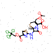 CC(=O)OCC1=C(C(=O)O)N2C(=O)C(Nc3nc(C(=O)OCC(Cl)(Cl)Cl)cs3)[C@H]2SC1